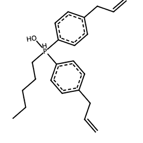 C=CCc1ccc([PH](O)(CCCCC)c2ccc(CC=C)cc2)cc1